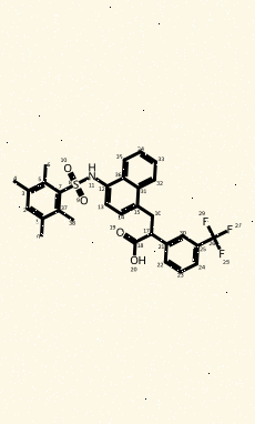 Cc1cc(C)c(C)c(S(=O)(=O)Nc2ccc(CC(C(=O)O)c3cccc(C(F)(F)F)c3)c3ccccc23)c1C